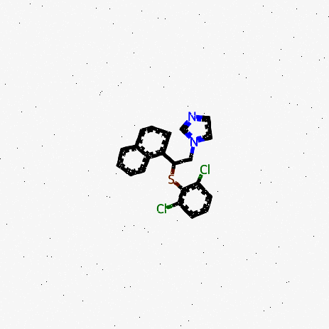 Clc1cccc(Cl)c1SC(Cn1ccnc1)c1cccc2ccccc12